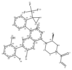 C=CC(=O)N1CCN(c2nc(=O)n(-c3ccccc3C3(C(F)(F)F)CC3)c3nc(-c4c(O)cccc4F)c(F)cc23)[C@@H](C)C1